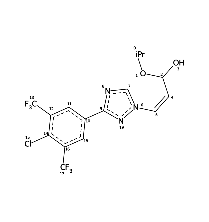 CC(C)OC(O)/C=C\n1cnc(-c2cc(C(F)(F)F)c(Cl)c(C(F)(F)F)c2)n1